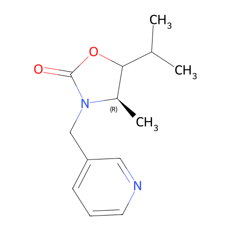 CC(C)C1OC(=O)N(Cc2cccnc2)[C@@H]1C